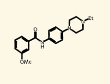 CCN1CCN(c2ccc(NC(=O)c3cccc(OC)c3)cc2)CC1